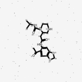 CC(=O)c1cc2c(cc1NC(=O)CC1CNCCN1C(=O)NC(C)C)OCO2